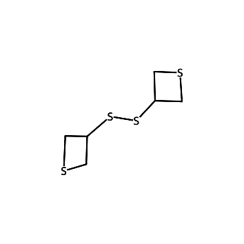 C1SCC1SSC1CSC1